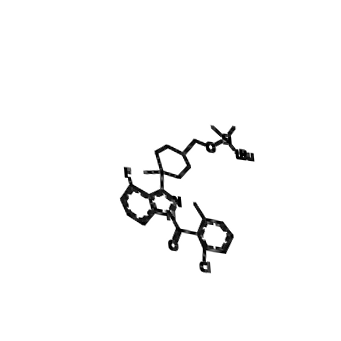 Cc1cccc(Cl)c1C(=O)n1nc(C2(C)CCC(CO[Si](C)(C)C(C)(C)C)CC2)c2c(F)cccc21